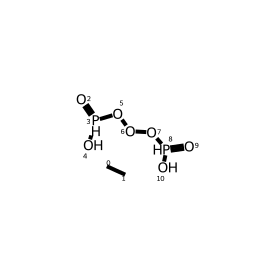 CC.O=[PH](O)OOO[PH](=O)O